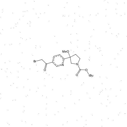 COC1(c2ccc(C(=O)CBr)cn2)CCN(C(=O)OC(C)(C)C)C1